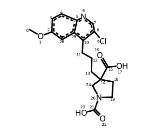 COc1ccc2ncc(Cl)c(CCCC3(C(=O)O)CCN(C(=O)O)C3)c2c1